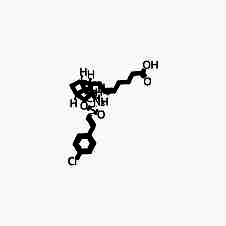 CC1(C)[C@H]2C[C@H](NS(=O)(=O)C=Cc3ccc(Cl)cc3)[C@@H](C/C=C\CCCC(=O)O)[C@@H]1C2